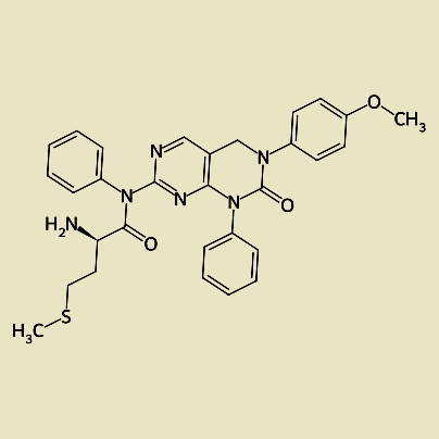 COc1ccc(N2Cc3cnc(N(C(=O)[C@H](N)CCSC)c4ccccc4)nc3N(c3ccccc3)C2=O)cc1